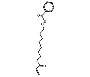 C=CC(=O)OCCCCCCCOOC(=O)c1ccccc1